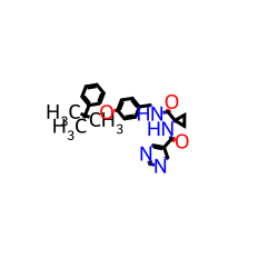 CC(C)(C)c1ccccc1Oc1ccc(CNC(=O)C2(NC(=O)c3cncnc3)CC2)cc1